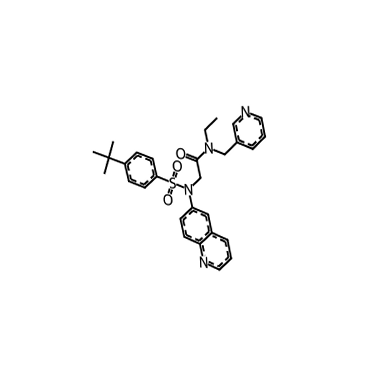 CCN(Cc1cccnc1)C(=O)CN(c1ccc2ncccc2c1)S(=O)(=O)c1ccc(C(C)(C)C)cc1